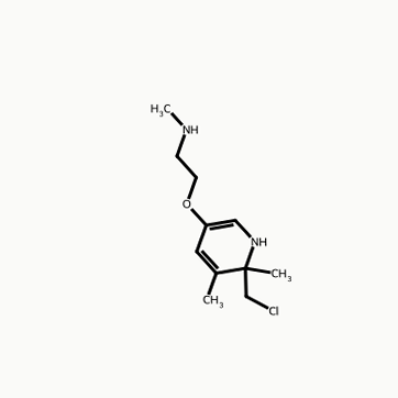 CNCCOC1=CNC(C)(CCl)C(C)=C1